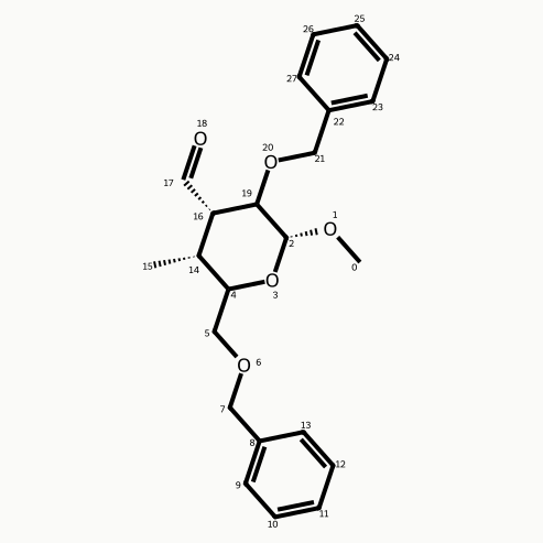 CO[C@@H]1OC(COCc2ccccc2)[C@H](C)[C@H](C=O)C1OCc1ccccc1